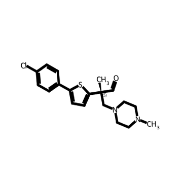 CN1CCN(C[C@@](C)(C=O)c2ccc(-c3ccc(Cl)cc3)s2)CC1